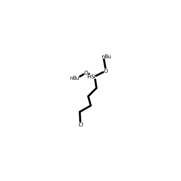 CCCCO[SiH](CCCCCl)OCCCC